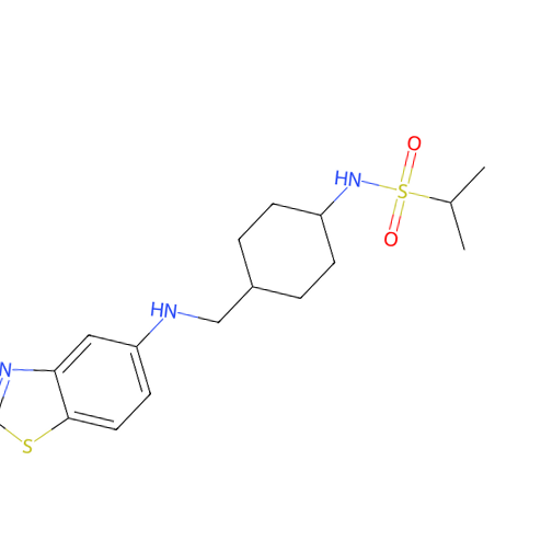 CC(C)S(=O)(=O)NC1CCC(CNc2ccc3scnc3c2)CC1